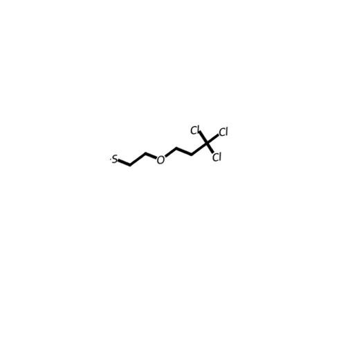 [S]CCOCCC(Cl)(Cl)Cl